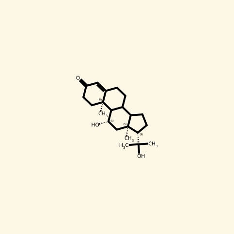 CC(C)(O)[C@H]1CCC2C3CCC4=CC(=O)CC[C@]4(C)C3[C@@H](O)C[C@@]21C